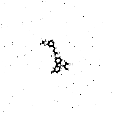 CCC(C(=O)O)n1c2c(c3cc(F)ccc31)CC(NC(=O)CCc1cccc(OC(F)(F)F)c1)CC2